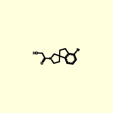 O=C(CO)N1CCC2(CCc3c(Br)cccc32)C1